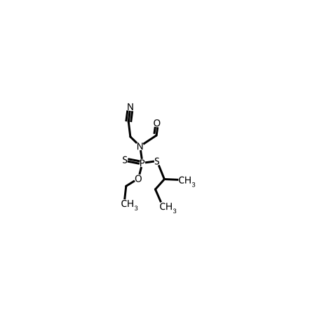 CCOP(=S)(SC(C)CC)N(C=O)CC#N